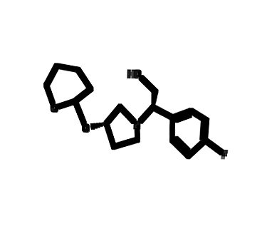 OC[C@@H](c1ccc(F)cc1)N1CC[C@H](OC2CCCCO2)C1